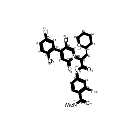 CNC(=O)c1ccc(NC(=O)C(C[C@@H]2CCCCO2)n2cc(Cl)c(-c3cc(Cl)ccc3C#N)cc2=O)cc1F